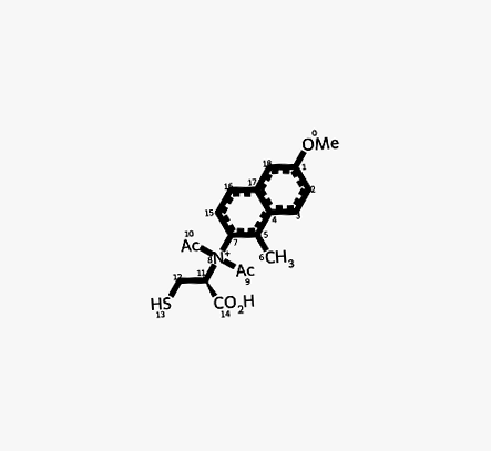 COc1ccc2c(C)c([N+](C(C)=O)(C(C)=O)[C@H](CS)C(=O)O)ccc2c1